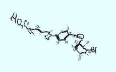 O=C(O)NCCCOc1ccc(Oc2cccc(Br)c2)cc1